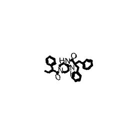 CCC(C(=O)N1CCC2(CC1)NC(=O)C(Cc1ccccc1)(Cc1ccccc1)N2)c1ccccc1